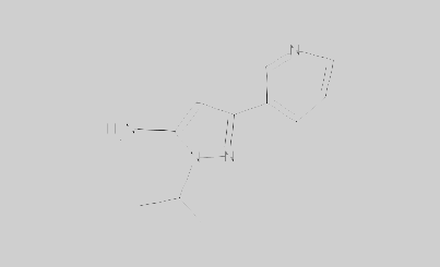 CC(C)n1nc(-c2cccnc2)cc1N